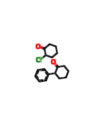 O=C1CCCCC1Cl.O=C1CCCCC1c1ccccc1